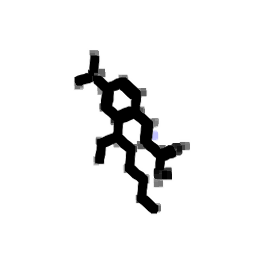 CCCCCC(CC)c1cc(N(C)C)ccc1/C=C/C(=O)O